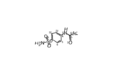 CC(=O)C(=O)Nc1ccc(S(N)(=O)=O)cc1